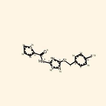 O=C(Nc1nc(SCc2ccc(F)cc2)ns1)c1cccs1